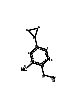 N#Cc1cc(C2CC2)cnc1CBr